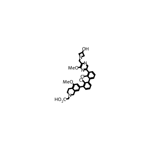 COc1cc(-c2cccc(-c3cccc(-c4cnc(CN5CC(O)C5)c(OC)n4)c3Cl)c2Cl)cc2c1CCN(CC(=O)O)C2